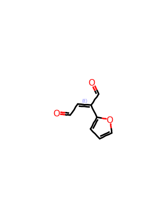 O=C/C=C(/C=O)c1ccco1